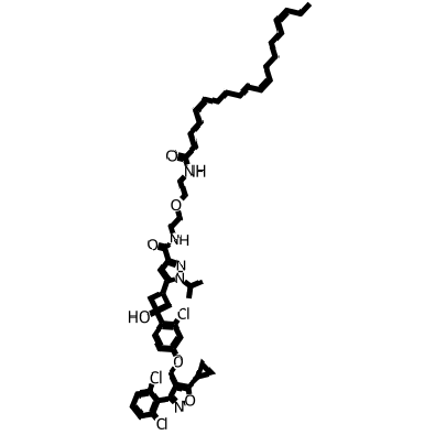 CC/C=C\CCCC/C=C\CCCC/C=C\CCCC(=O)NCCOCCNC(=O)c1cc(C2CC(O)(c3ccc(OCc4c(-c5c(Cl)cccc5Cl)noc4C4CC4)cc3Cl)C2)n(C(C)C)n1